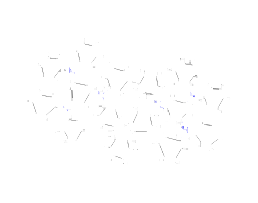 c1ccc(N(c2ccccc2)c2cc(N(c3ccccc3)c3ccccc3)cc(N(c3ccccc3)c3ccc4c5ccccc5c5ccc(N(c6ccccc6)c6cc(N(c7ccccc7)c7ccccc7)cc(N(c7ccccc7)c7ccccc7)c6)cc5c4c3)c2)cc1